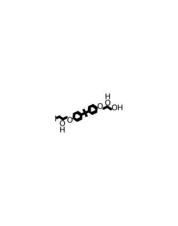 CC(C)(C1=CC[C@H](OCC(O)CI)C=C1)c1ccc(OCC(O)CO)cc1